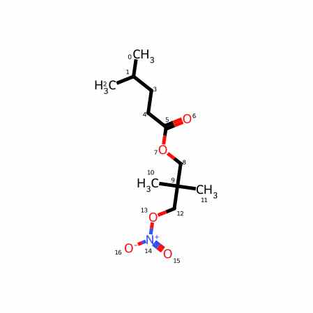 CC(C)CCC(=O)OCC(C)(C)CO[N+](=O)[O-]